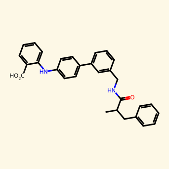 CC(Cc1ccccc1)C(=O)NCc1cccc(-c2ccc(Nc3ccccc3C(=O)O)cc2)c1